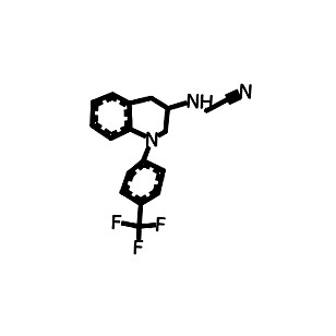 N#CCNC1Cc2ccccc2N(c2ccc(C(F)(F)F)cc2)C1